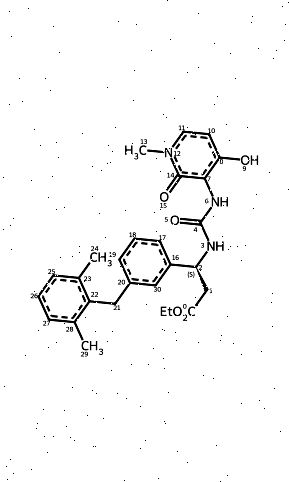 CCOC(=O)C[C@H](NC(=O)Nc1c(O)ccn(C)c1=O)c1cccc(Cc2c(C)cccc2C)c1